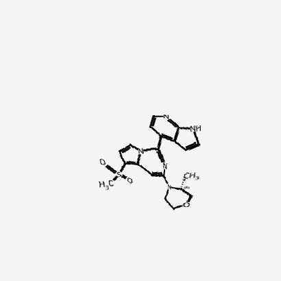 C[C@@H]1COCCN1c1cc2c(S(C)(=O)=O)ccn2c(-c2ccnc3[nH]ccc23)n1